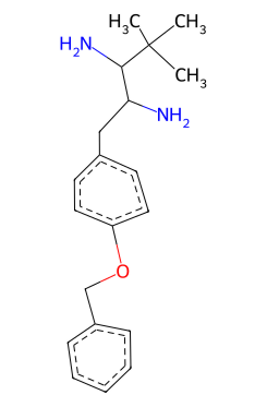 CC(C)(C)C(N)C(N)Cc1ccc(OCc2ccccc2)cc1